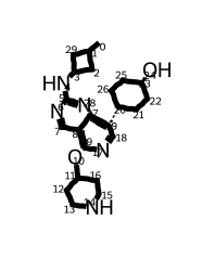 CC1CC(Nc2ncc3c(OC4CCNCC4)ncc([C@H]4CC[C@H](O)CC4)c3n2)C1